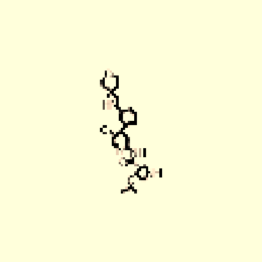 CC(C)O[C@H]1CNC[C@@H]1C(=O)Nc1cc(-c2cccc(NCC3(C)CCOCC3)c2)c(Cl)cn1